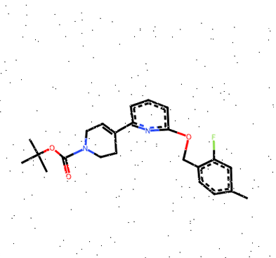 Cc1ccc(COc2cccc(C3=CCN(C(=O)OC(C)(C)C)CC3)n2)c(F)c1